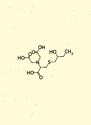 CCC(O)CSCC(C(=O)O)N(CC(=O)O)CC(=O)O